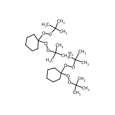 CC(C)(C)OOC1(OOC(C)(C)C)CCCCC1.CC(C)(C)OOC1(OOC(C)(C)C)CCCCC1